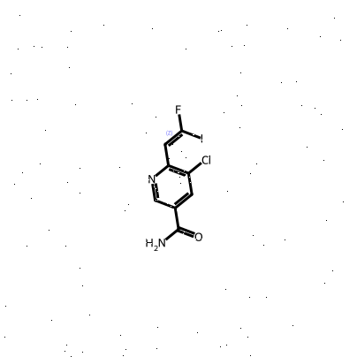 NC(=O)c1cnc(/C=C(/F)I)c(Cl)c1